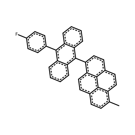 Cc1ccc2ccc3c(-c4c5ccccc5c(-c5ccc(F)cc5)c5ccccc45)ccc4ccc1c2c43